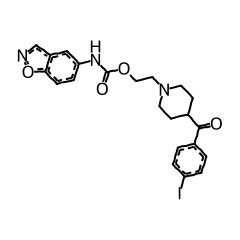 O=C(Nc1ccc2oncc2c1)OCCN1CCC(C(=O)c2ccc(I)cc2)CC1